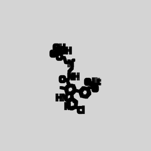 CCS(=O)(=O)c1cccc(-c2cc(C(=O)NCCN(C)CCOP(=O)(O)O)c(C)c3[nH]c4ncc(Cl)cc4c23)c1